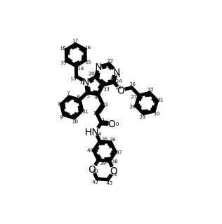 O=C(/C=C/c1c(-c2ccccc2)n(Cc2ccccc2)c2ncnc(OCc3ccccc3)c12)Nc1ccc2c(c1)OCCO2